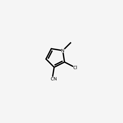 Cn1ccc(C#N)c1Cl